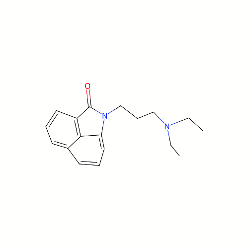 CCN(CC)CCCN1C(=O)c2cccc3cccc1c23